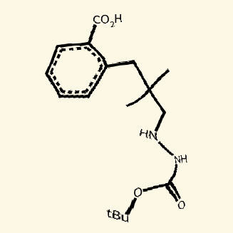 CC(C)(CNNC(=O)OC(C)(C)C)Cc1ccccc1C(=O)O